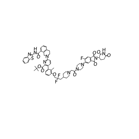 Cc1c(OCC(F)(F)CC2CCN(CC(=O)N3CCN(c4cc5c(cc4F)C(=O)N(C4CCC(=O)NC4=O)C5=O)CC3)CC2)cccc1-c1ccc(N2CCc3cccc(C(=O)Nc4nc5ccccc5s4)c3C2)nc1C(=O)OC(C)(C)C